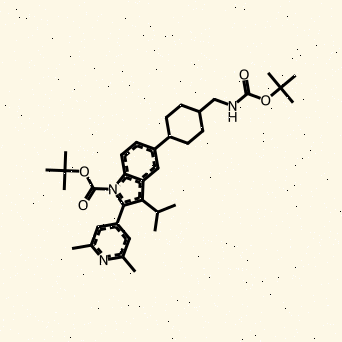 Cc1cc(-c2c(C(C)C)c3cc(C4CCC(CNC(=O)OC(C)(C)C)CC4)ccc3n2C(=O)OC(C)(C)C)cc(C)n1